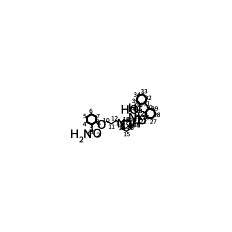 NC(=O)c1ccccc1OCCC[N+]12CCC(CC1)[C@@H](NC(=O)C1(O)c3ccccc3-c3ccccc31)C2